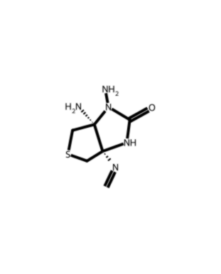 C=N[C@]12CSC[C@@]1(N)N(N)C(=O)N2